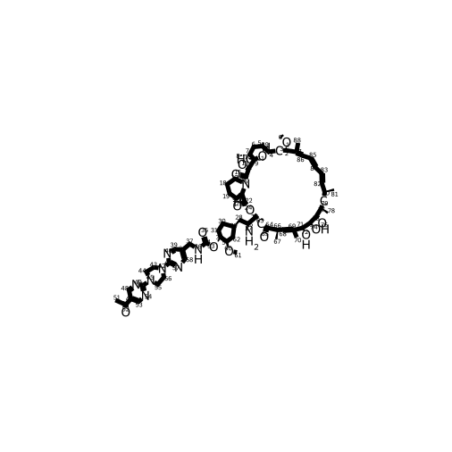 CO[C@H]1C[C@@H]2CC[C@@H](C)[C@@](O)(O2)C(=O)C(=O)N2CCCC[C@H]2C(=O)O[C@H]([C@H](N)C[C@@H]2CC[C@@H](OC(=O)NCc3cnc(N4CCN(c5ncc(C(C)=O)cn5)CC4)nc3)[C@H](OC)C2)CC(=O)[C@H](C)/C=C(\C)[C@@H](O)[C@@H](O)C(=O)[C@H](C)C[C@H](C)/C=C/C=C/C=C/1C